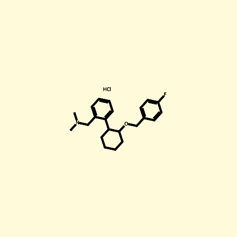 CN(C)Cc1ccccc1C1CCCCC1OCc1ccc(F)cc1.Cl